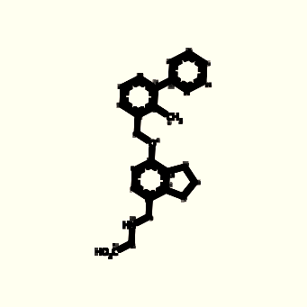 Cc1c(COc2ccc(CNCC(=O)O)c3c2CCC3)cccc1-c1ccccc1